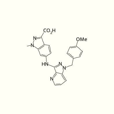 COc1ccc(Cn2nc(Nc3ccc4c(C(=O)O)nn(C)c4c3)c3ncccc32)cc1